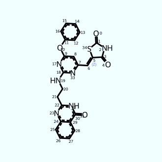 O=C1NC(=O)/C(=C/c2cc(Oc3ccccc3)nc(NCCc3nc4ccccc4c(=O)[nH]3)n2)S1